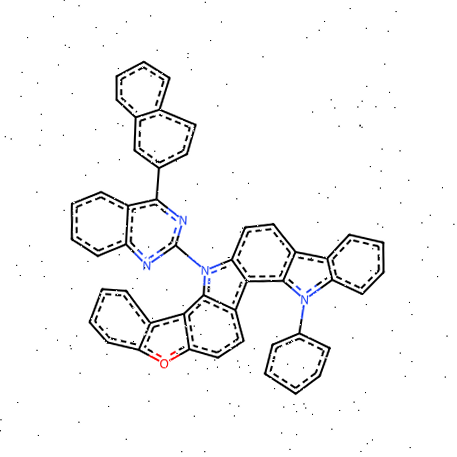 c1ccc(-n2c3ccccc3c3ccc4c(c5ccc6oc7ccccc7c6c5n4-c4nc(-c5ccc6ccccc6c5)c5ccccc5n4)c32)cc1